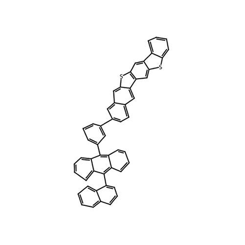 c1cc(-c2ccc3cc4c(cc3c2)sc2cc3c(cc24)sc2ccccc23)cc(-c2c3ccccc3c(-c3cccc4ccccc34)c3ccccc23)c1